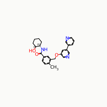 Cc1ccc(C(=O)N[C@H]2CCCC[C@@H]2O)cc1COc1cncc(-c2cccnc2)c1